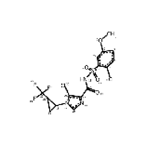 COc1ccc(Cl)c(S(=O)(=O)NC(=O)c2ncn(C3CC3C(F)(F)F)c2Cl)c1